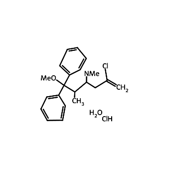 C=C(Cl)CC(NC)C(C)C(OC)(c1ccccc1)c1ccccc1.Cl.O